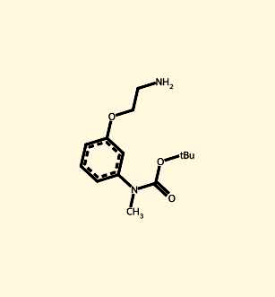 CN(C(=O)OC(C)(C)C)c1cccc(OCCN)c1